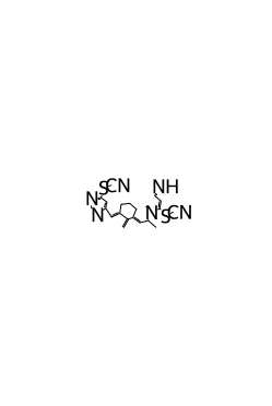 C=C1/C(=C/c2cc(SC#N)ncn2)CCC/C1=C\C(C)N(C)/C(=C\C=N)SC#N